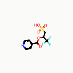 O=C(OC(CS(=O)(=O)O)C(F)(F)F)c1ccncc1